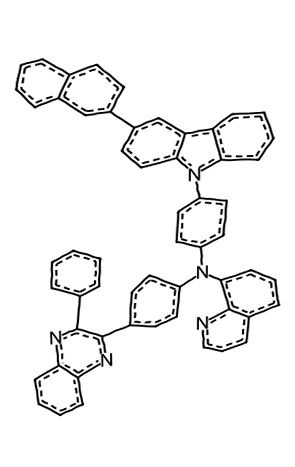 c1ccc(-c2nc3ccccc3nc2-c2ccc(N(c3ccc(-n4c5ccccc5c5cc(-c6ccc7ccccc7c6)ccc54)cc3)c3cccc4cccnc34)cc2)cc1